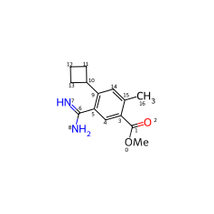 COC(=O)c1cc(C(=N)N)c(C2CCC2)cc1C